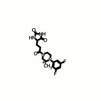 C[C@@H]1CN(C(=O)CCC2NC(=O)NC2=O)CCN1c1cc(F)cc(F)c1